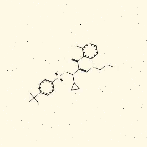 C=C(/C(=C\N(N)COC)C(NS(=O)(=O)c1ccc(C(F)(F)F)cc1)C1CC1)c1cccnc1Br